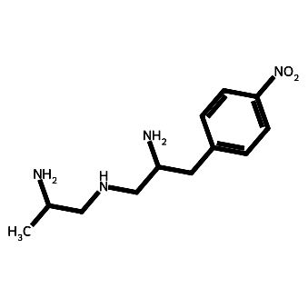 CC(N)CNCC(N)Cc1ccc([N+](=O)[O-])cc1